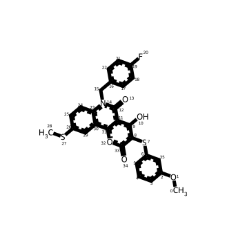 COc1cccc(Sc2c(O)c3c(=O)n(Cc4ccc(F)cc4)c4ccc(SC)cc4c3oc2=O)c1